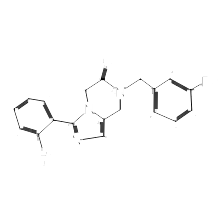 O=C1Cn2c(cnc2-c2ccccc2Br)CN1Cc1cccc(F)c1